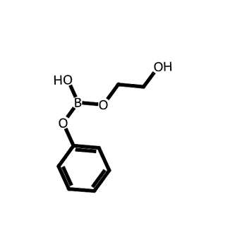 OCCOB(O)Oc1ccccc1